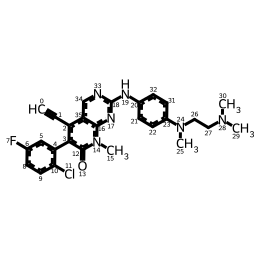 C#Cc1c(-c2cc(F)ccc2Cl)c(=O)n(C)c2nc(Nc3ccc(N(C)CCN(C)C)cc3)ncc12